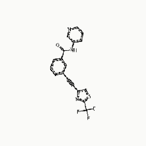 O=C(Nc1cccnc1)c1cccc(C#Cc2csc(C(F)(F)F)n2)c1